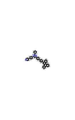 c1ccc(-c2nc(-c3ccc(-c4ccncc4)cc3)cc(-c3ccc(-c4ccc(-c5cc6c7ccccc7c7ccccc7c6c6ccccc56)cc4)cc3)n2)cc1